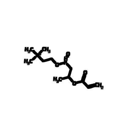 C=CC(=O)OC(C)C[PH](=O)OCC[N+](C)(C)C